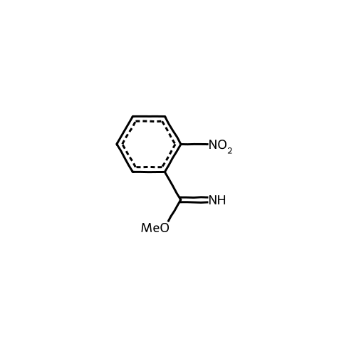 COC(=N)c1ccccc1[N+](=O)[O-]